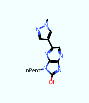 CCCCCn1c(O)nc2ncc(-c3cnn(C)c3)nc21